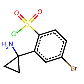 NC1(c2cc(Br)ccc2S(=O)(=O)Cl)CC1